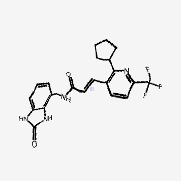 O=C(/C=C/c1ccc(C(F)(F)F)nc1C1CCCC1)Nc1cccc2[nH]c(=O)[nH]c12